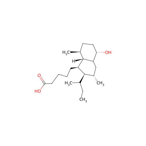 CCC(C)[C@H]1[C@@H](CCCCC(=O)O)[C@H]2C(C[C@@H]1C)[C@@H](O)CC[C@@H]2C